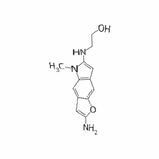 Cn1c(NCCO)cc2cc3oc(N)cc3cc21